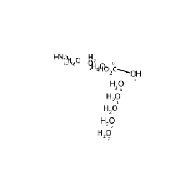 O.O.O.O.O.O.O.O.O=C(O)O.[NaH]